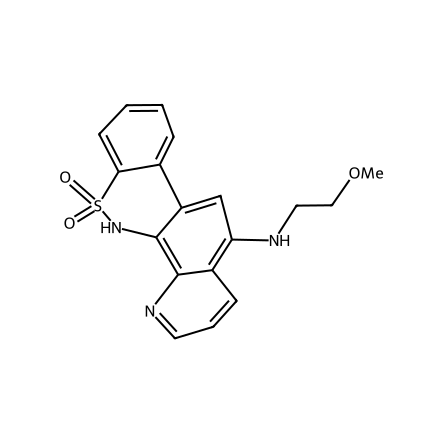 COCCNc1cc2c(c3ncccc13)NS(=O)(=O)c1ccccc1-2